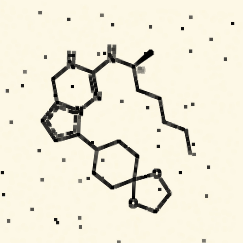 CCCCC[C@H](C)NC1=Nn2c(ccc2C2CCC3(CC2)OCCO3)CN1